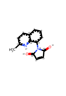 Cc1ccc2cccc(N3C(=O)C=CC3=O)c2n1